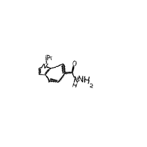 CC(C)n1ccc2ccc(C(=O)NN)cc21